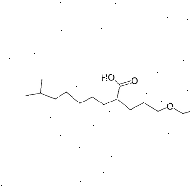 CCOCCCC(CCCCCC(C)C)C(=O)O